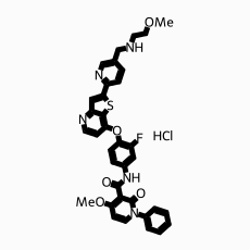 COCCNCc1ccc(-c2cc3nccc(Oc4ccc(NC(=O)c5c(OC)ccn(-c6ccccc6)c5=O)cc4F)c3s2)nc1.Cl